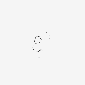 CCCN(CC)Cc1ccc2c(c1O)ON=C(O)C=C2